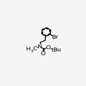 CN(CCc1ccccc1Br)C(=O)OC(C)(C)C